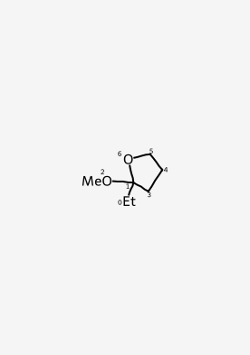 CCC1(OC)CCCO1